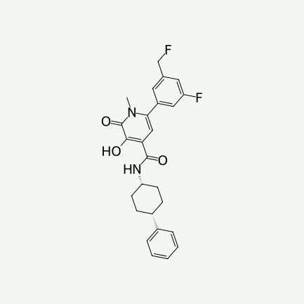 Cn1c(-c2cc(F)cc(CF)c2)cc(C(=O)N[C@H]2CC[C@@H](c3ccccc3)CC2)c(O)c1=O